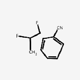 CC(F)CF.N#Cc1ccccc1